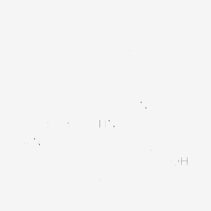 OCCC1Cc2ccccc2CN1C(=S)Nc1cccc2cnccc12